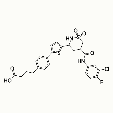 O=C(O)CCCc1ccc(-c2ccc(C3CC(C(=O)Nc4ccc(F)c(Cl)c4)CS(=O)(=O)N3)s2)cc1